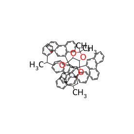 CC(CCOC(c1cc2ccccc2c2ccccc12)(c1cc2ccccc2c2ccccc12)C1OC(C)(C)OC1C(OCCC(C)c1ccccc1)(c1cc2ccccc2c2ccccc12)c1cc2ccccc2c2ccccc12)c1ccccc1